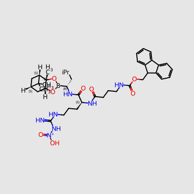 CC(C)C[C@H](NC(=O)[C@H](CCCNC(=N)N[N+](=O)O)NC(=O)CCCNC(=O)OCC1c2ccccc2-c2ccccc21)B1O[C@@H]2C[C@@H]3C[C@@H](C3(C)C)[C@]2(C)O1